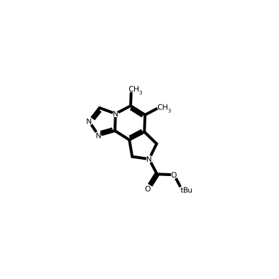 Cc1c2c(c3nncn3c1C)CN(C(=O)OC(C)(C)C)C2